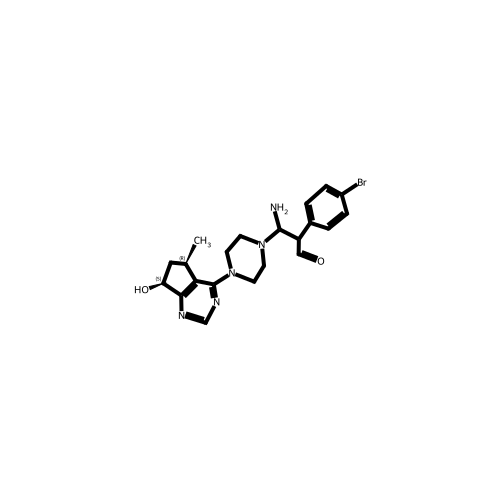 C[C@@H]1C[C@H](O)c2ncnc(N3CCN(C(N)C(C=O)c4ccc(Br)cc4)CC3)c21